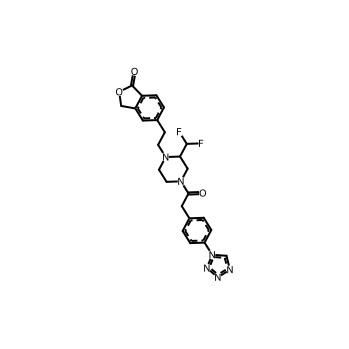 O=C1OCc2cc(CCN3CCN(C(=O)Cc4ccc(-n5cnnn5)cc4)CC3C(F)F)ccc21